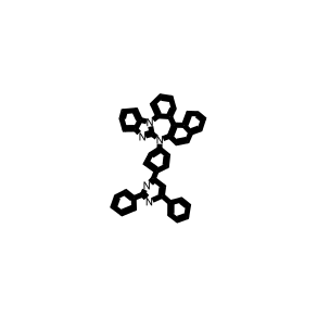 c1ccc(-c2cc(-c3ccc(N4c5ccc6ccccc6c5-c5ccccc5-n5c4nc4ccccc45)cc3)nc(-c3ccccc3)n2)cc1